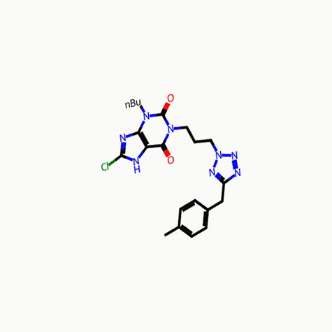 CCCCn1c(=O)n(CCCn2nnc(Cc3ccc(C)cc3)n2)c(=O)c2[nH]c(Cl)nc21